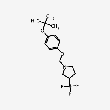 CC(C)(C)Oc1ccc(OCN2CC[C@@H](C(F)(F)F)C2)cc1